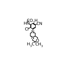 CC1(C)CN2CCN(c3cc(C#N)cc(NC(=O)O)c3Cl)CC2CO1